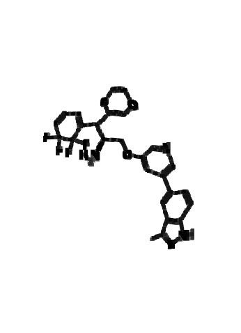 Cc1n[nH]c2ccc(-c3cncc(OC[C@@H](N)C(C4=COC=CO4)C4=CC=CC(F)(F)C4(F)F)c3)cc12